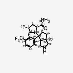 NC(=O)[C@@H]1C[C@@H](F)CN1[C@@]1(c2cccc(C(F)(F)F)c2F)CC[C@@H]2CNC[C@@H]21